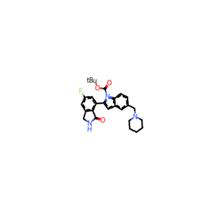 CC(C)(C)OC(=O)n1c(-c2cc(F)cc3c2C(=O)NC3)cc2cc(CN3CCCCC3)ccc21